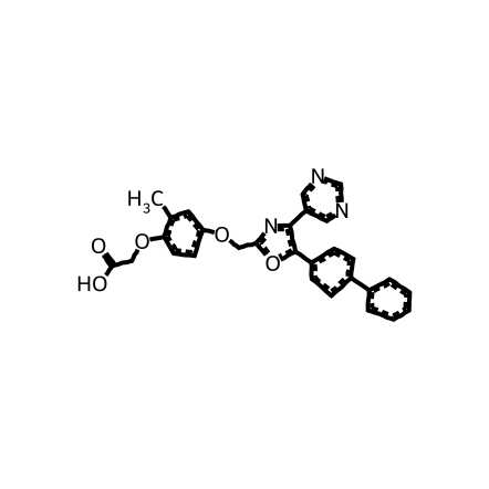 Cc1cc(OCc2nc(-c3cncnc3)c(-c3ccc(-c4ccccc4)cc3)o2)ccc1OCC(=O)O